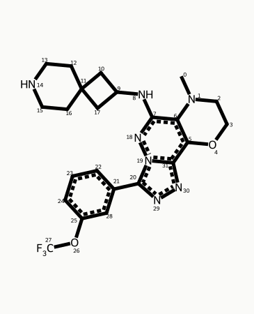 CN1CCOc2c1c(NC1CC3(CCNCC3)C1)nn1c(-c3cccc(OC(F)(F)F)c3)nnc21